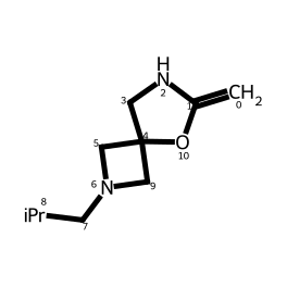 C=C1NCC2(CN(CC(C)C)C2)O1